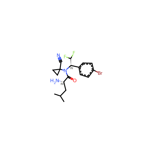 CC(C)C[C@H](N)C(=O)N([C@@H](c1ccc(Br)cc1)C(F)F)C1(C#N)CC1